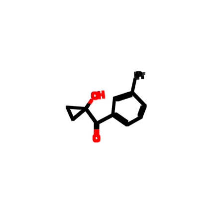 CC(C)c1cccc(C(=O)C2(O)CC2)c1